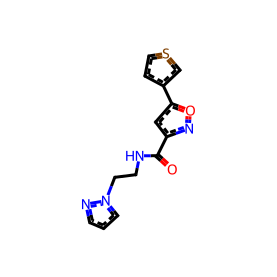 O=C(NCCn1cccn1)c1cc(-c2ccsc2)on1